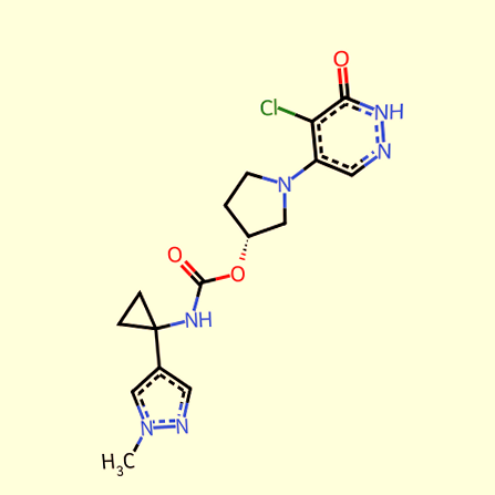 Cn1cc(C2(NC(=O)O[C@@H]3CCN(c4cn[nH]c(=O)c4Cl)C3)CC2)cn1